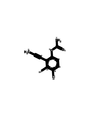 CC#Cc1c(OC(N)=O)ccc(Cl)c1I